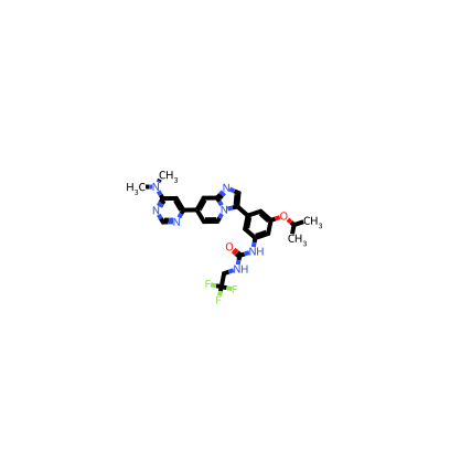 CC(C)Oc1cc(NC(=O)NCC(F)(F)F)cc(-c2cnc3cc(-c4cc(N(C)C)ncn4)ccn23)c1